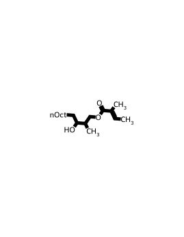 CC=C(C)C(=O)OCC(C)C(O)CCCCCCCCC